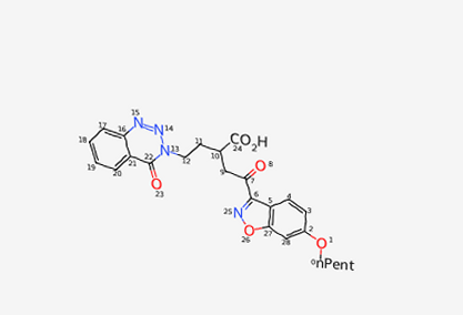 CCCCCOc1ccc2c(C(=O)CC(CCn3nnc4ccccc4c3=O)C(=O)O)noc2c1